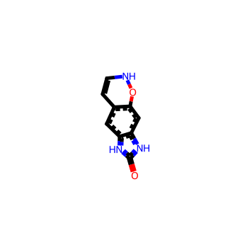 O=c1[nH]c2cc3c(cc2[nH]1)ONC=C3